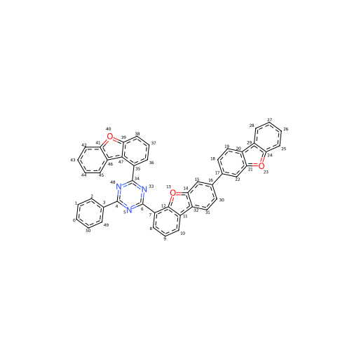 c1ccc(-c2nc(-c3cccc4c3oc3cc(-c5ccc6c(c5)oc5ccccc56)ccc34)nc(-c3cccc4oc5ccccc5c34)n2)cc1